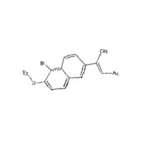 CCOc1ccc2cc(C(O)=CC(C)=O)ccc2c1Br